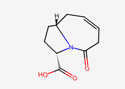 O=C(O)[C@@H]1CC[C@@H]2CC=CCC(=O)N21